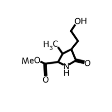 COC(=O)C1NC(=O)C(CCO)C1C